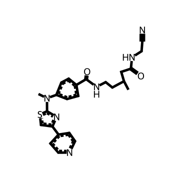 CC(CCNC(=O)c1ccc(N(C)c2nc(-c3ccncc3)cs2)cc1)CC(=O)NCC#N